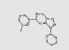 Fc1cccc(-c2cc3c(cn2)ncn3-c2ccccc2)c1